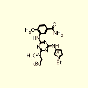 CCN1CC[C@@H](Nc2nc(Nc3cc(C(N)=O)ccc3C)nc(N(C)CC(C)(C)C)n2)C1